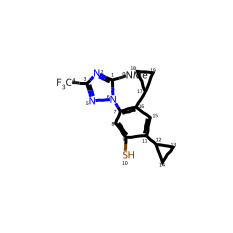 CNc1nc(C(F)(F)F)nn1-c1cc(S)c(C2CC2)cc1C1CC1